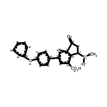 C[S+]([O-])C1CC(=O)c2nc(-c3ccc(Oc4ccccc4)cc3)cc(C(=O)O)c21